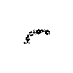 O=C(O)c1ccc(CN2CCN(C(=O)Oc3ccc(CCOc4ccncc4)cc3)CC2)nc1